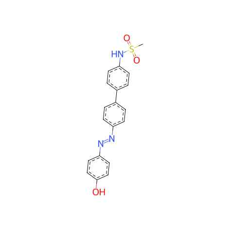 CS(=O)(=O)Nc1ccc(-c2ccc(N=Nc3ccc(O)cc3)cc2)cc1